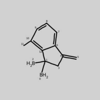 BC1(B)CC(=C)c2cccc(C)c21